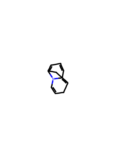 [C]1=CC2=C3CC=CN2C(=C1)C3